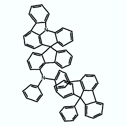 c1ccc(N(c2ccc(-c3cccc4c3C(c3ccccc3)(c3ccccc3)c3ccccc3-4)cc2)c2cccc3c2-c2ccccc2C32c3ccccc3-n3c4ccccc4c4cccc2c43)cc1